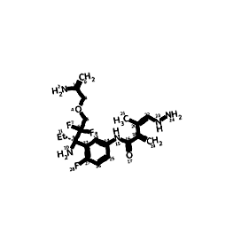 C=C(N)COCC(F)(F)[C@@](N)(CC)c1cc(NC(=O)C(=C)/C(C)=C\NN)ccc1F